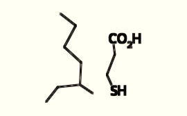 CCCCC(C)CC.O=C(O)CCS